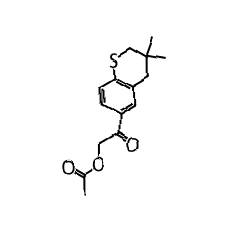 CC(=O)OCC(=O)c1ccc2c(c1)CC(C)(C)CS2